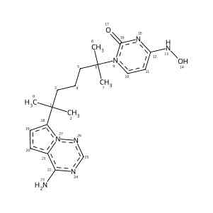 CC(C)(CCCC(C)(C)n1ccc(NO)nc1=O)c1ccc2c(N)ncnn12